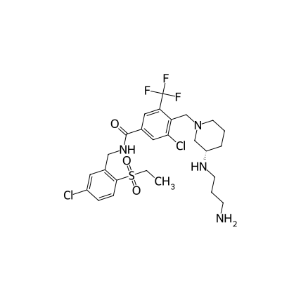 CCS(=O)(=O)c1ccc(Cl)cc1CNC(=O)c1cc(Cl)c(CN2CCC[C@H](NCCCN)C2)c(C(F)(F)F)c1